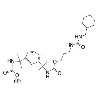 CCCOC(=O)NC(C)(C)c1cccc(C(C)(C)NC(=O)OCCCNC(=O)NCC2CCCCC2)c1